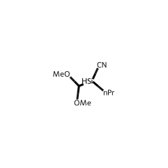 CCC[SiH](C#N)C(OC)OC